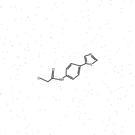 O=C(CCl)Nc1ccc(-c2cncs2)cc1